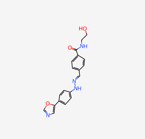 O=C(NCCO)c1ccc(C=NNc2ccc(-c3cnco3)cc2)cc1